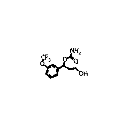 NC(=O)OC(CCO)c1cccc(OC(F)(F)F)c1